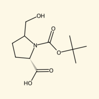 CC(C)(C)OC(=O)N1C(CO)CC[C@H]1C(=O)O